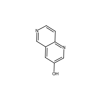 Oc1cnc2ccncc2c1